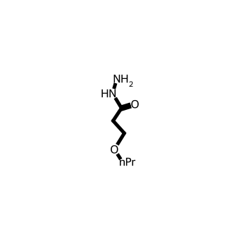 CCCOCCC(=O)NN